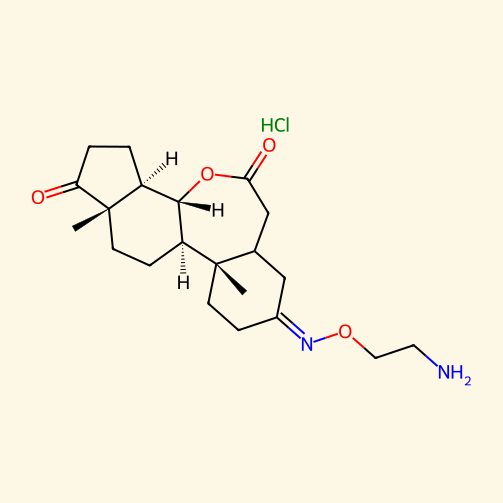 C[C@]12CC/C(=N/OCCN)CC1CC(=O)O[C@@H]1[C@@H]2CC[C@]2(C)C(=O)CC[C@@H]12.Cl